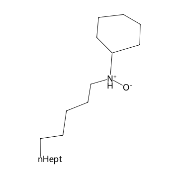 CCCCCCCCCCCC[NH+]([O-])C1CCCCC1